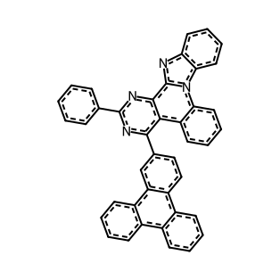 c1ccc(-c2nc(-c3ccc4c5ccccc5c5ccccc5c4c3)c3c4ccccc4n4c5ccccc5nc4c3n2)cc1